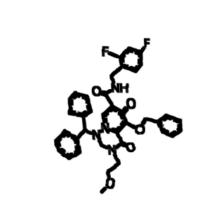 COCCN1CN(C(c2ccccc2)c2ccccc2)n2cc(C(=O)NCc3ccc(F)cc3F)c(=O)c(OCc3ccccc3)c2C1=O